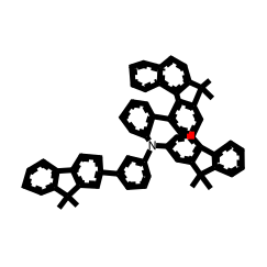 CC1(C)c2ccccc2-c2ccc(-c3cccc(N(c4ccc5c(c4)C(C)(C)c4ccccc4-5)c4ccccc4-c4cccc5c4-c4c(ccc6ccccc46)C5(C)C)c3)cc21